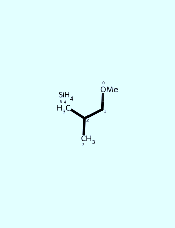 COCC(C)C.[SiH4]